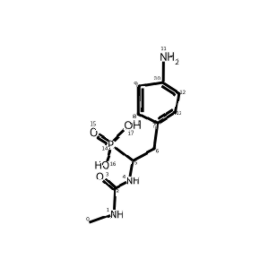 CNC(=O)NC(Cc1ccc(N)cc1)P(=O)(O)O